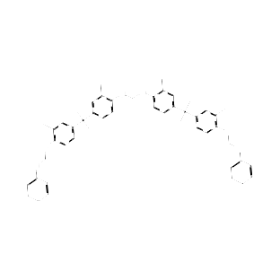 Cc1cc(C(C)(C)c2ccc(OCOc3ccc(C(C)(C)c4ccc(OCOC5=CCCC=C5)c(C)c4)cc3C)c(C)c2)ccc1OCOC1=CCCC=C1